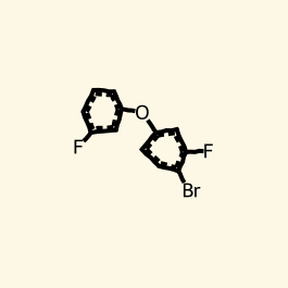 Fc1cccc(Oc2ccc(Br)c(F)c2)c1